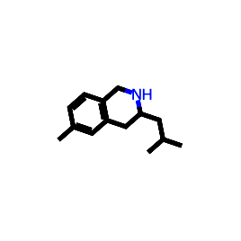 Cc1ccc2c(c1)CC(CC(C)C)NC2